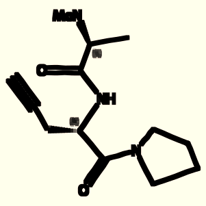 C#CC[C@H](NC(=O)[C@H](C)NC)C(=O)N1CCCC1